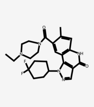 CCN1CCN(C(=O)c2cc3c(cc2C)[nH]c(=O)c2cnn(C4CCC(F)(F)CC4)c23)CC1